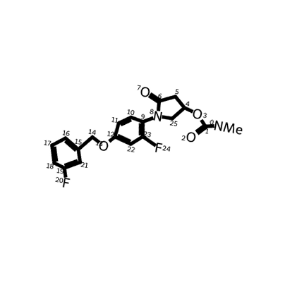 CNC(=O)OC1CC(=O)N(c2ccc(OCc3cccc(F)c3)cc2F)C1